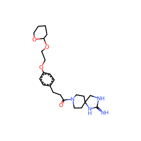 N=C1NCC2(CCN(C(=O)CCc3ccc(OCCOC4CCCCO4)cc3)CC2)N1